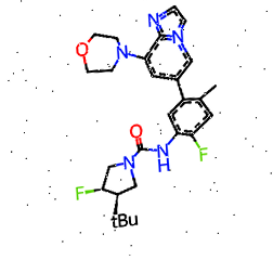 Cc1cc(F)c(NC(=O)N2C[C@@H](C(C)(C)C)[C@@H](F)C2)cc1-c1cc(N2CCOCC2)c2nccn2c1